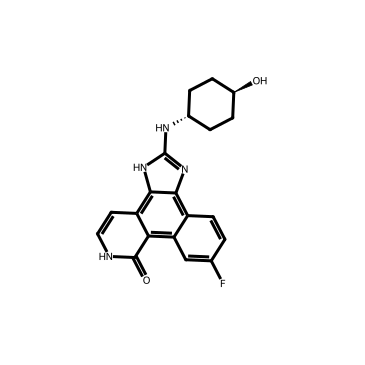 O=c1[nH]ccc2c3[nH]c(N[C@H]4CC[C@H](O)CC4)nc3c3ccc(F)cc3c12